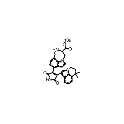 CC(C)(C)OC(=O)C1Cn2ccc3c(C4=C(c5cn6c7c(cccc57)C(C)(C)CC6)C(=O)NC4=O)ccc(c32)CN1